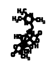 Cc1nc(C)c(CO[C@H]2C(=O)O[C@H]3O[C@]45C(=O)OC6C[C@@H](C(C)(C)C)C32C64[C@@H](O)C2OC(=O)[C@@H](C)[C@@]25O)nc1C